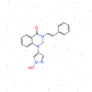 O=C1c2ccccc2N(c2cnn(O)c2)CN1C=Cc1ccccc1